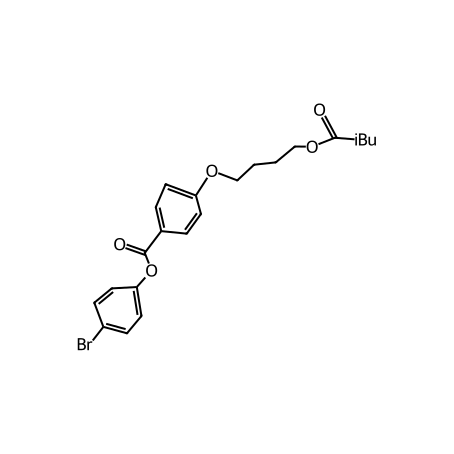 CCC(C)C(=O)OCCCCOc1ccc(C(=O)Oc2ccc(Br)cc2)cc1